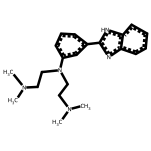 CN(C)CCN(CCN(C)C)c1cccc(-c2nc3ccccc3[nH]2)c1